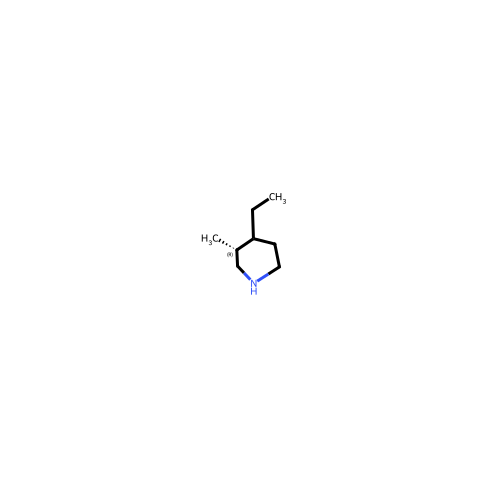 CCC1CCNC[C@@H]1C